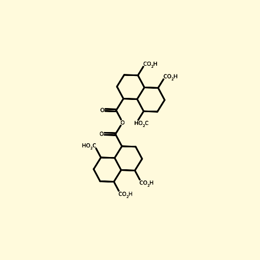 O=C(O)C1CCC(C(=O)O)C2C(C(=O)OC(=O)C3CCC(C(=O)O)C4C(C(=O)O)CCC(C(=O)O)C34)CCC(C(=O)O)C12